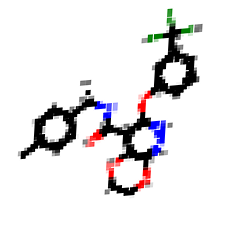 Cc1ccc([C@H](C)NC(=O)c2c(Oc3cccc(C(F)(F)F)c3)nnc3c2OCCO3)cc1